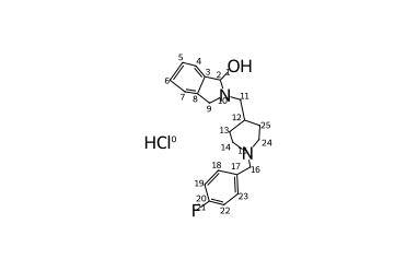 Cl.OC1c2ccccc2CN1CC1CCN(Cc2ccc(F)cc2)CC1